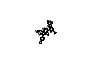 N=C(/C=C(\NCCO)NC(=O)c1nc(C2CC2)ccc1Nc1cncnc1)c1ccc(Cl)cn1